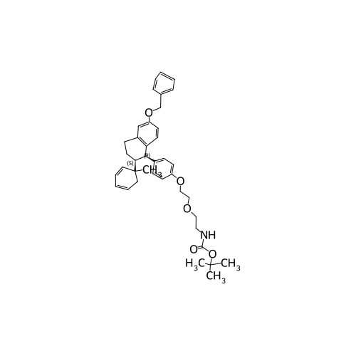 CC(C)(C)OC(=O)NCCOCCOc1ccc([C@@H]2c3ccc(OCc4ccccc4)cc3CC[C@@H]2C2(C)C=CC=CC2)cc1